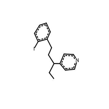 CCC(CCc1ccccc1I)c1ccncc1